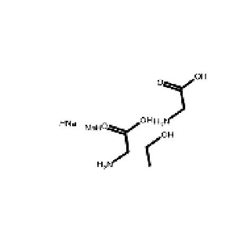 CCO.NCC(=O)O.NCC(=O)O.[NaH].[NaH]